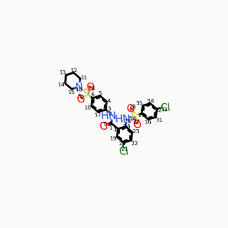 O=C(Nc1ccc(S(=O)(=O)N2CCCCC2)cc1)c1cc(Cl)ccc1NS(=O)(=O)c1ccc(Cl)cc1